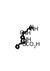 O=C(O)C[C@H]1Nc2cc(C(=O)NCCCc3cn[nH]c3)ccc2CN(CCc2ccccc2)C1=O